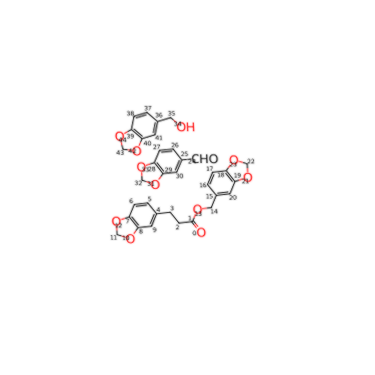 O=C(CCc1ccc2c(c1)OCO2)OCc1ccc2c(c1)OCO2.O=Cc1ccc2c(c1)OCO2.OCc1ccc2c(c1)OCO2